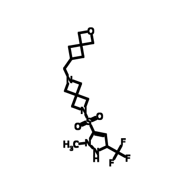 CN1NC(C(F)(F)F)C=C1S(=O)(=O)N1CC2(CN(CC3CC4(COC4)C3)C2)C1